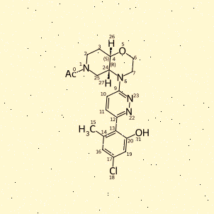 CC(=O)N1CC[C@@H]2OCCN(c3ccc(-c4c(C)cc(Cl)cc4O)nn3)[C@@H]2C1